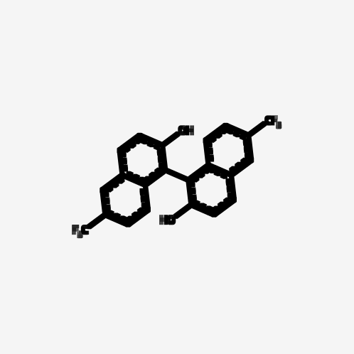 Oc1ccc2cc(C(F)(F)F)ccc2c1-c1c(O)ccc2cc(C(F)(F)F)ccc12